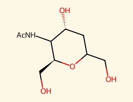 CC(=O)NC1[C@H](O)CC(CO)O[C@H]1CO